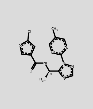 Cc1cnc(-n2ncnc2[C@@H](C)NC(=O)c2csc(Cl)c2)nc1